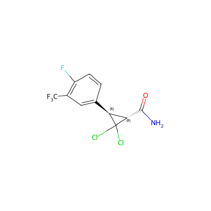 NC(=O)[C@H]1[C@H](c2ccc(F)c(C(F)(F)F)c2)C1(Cl)Cl